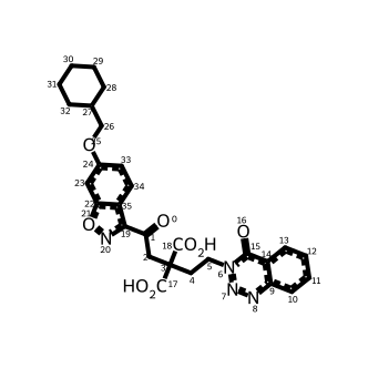 O=C(CC(CCn1nnc2ccccc2c1=O)(C(=O)O)C(=O)O)c1noc2cc(OCC3CCCCC3)ccc12